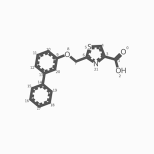 O=C(O)c1csc(COc2cccc(-c3ccccc3)c2)n1